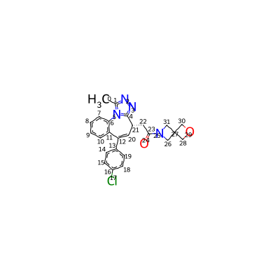 Cc1nnc2n1-c1ccccc1C(c1ccc(Cl)cc1)=C[C@H]2CC(=O)N1CC2(COC2)C1